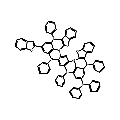 c1ccc(N(c2ccccc2)c2cc3c4c(c2)N(c2ccccc2)c2c(oc5ccccc25)B4c2cc4c(cc2N3c2ccccc2)N(c2ccccc2)c2cc(-c3cc5ccccc5o3)cc3c2B4c2oc4ccccc4c2N3c2ccccc2)cc1